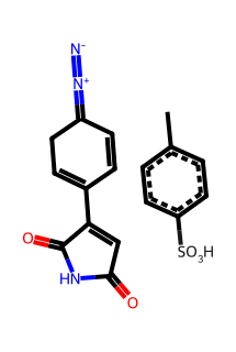 Cc1ccc(S(=O)(=O)O)cc1.[N-]=[N+]=C1C=CC(C2=CC(=O)NC2=O)=CC1